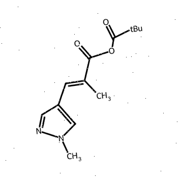 C/C(=C\c1cnn(C)c1)C(=O)OC(=O)C(C)(C)C